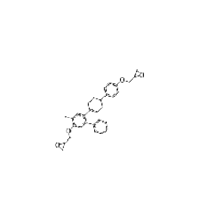 Cc1cc(C2=CCC(c3ccc(OCC4CO4)cc3)CC2)c(-c2ccccc2)cc1OCC1CO1